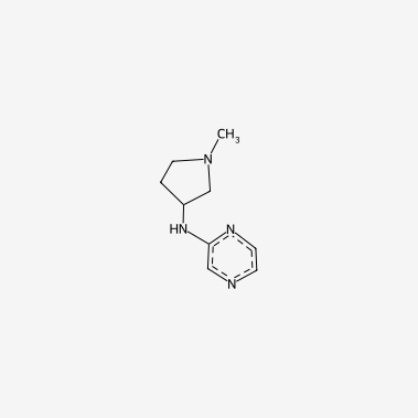 CN1CCC(Nc2cnccn2)C1